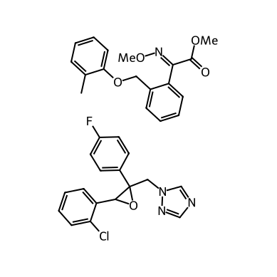 CO/N=C(/C(=O)OC)c1ccccc1COc1ccccc1C.Fc1ccc(C2(Cn3cncn3)OC2c2ccccc2Cl)cc1